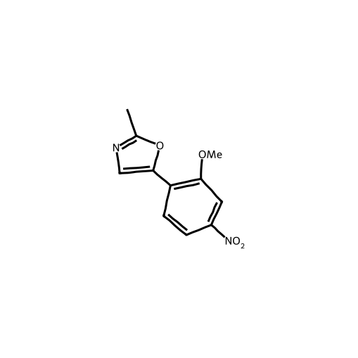 COc1cc([N+](=O)[O-])ccc1-c1cnc(C)o1